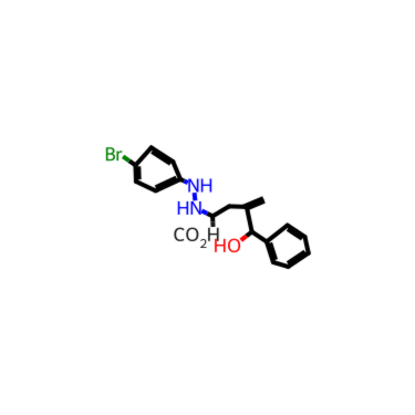 C=C(CC(NNc1ccc(Br)cc1)C(=O)O)C(O)c1ccccc1